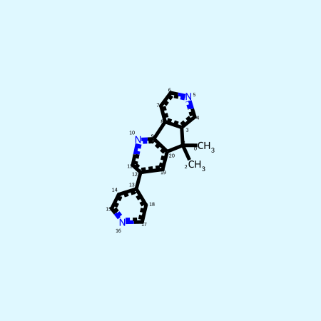 CC1(C)c2cnccc2-c2ncc(-c3ccncc3)cc21